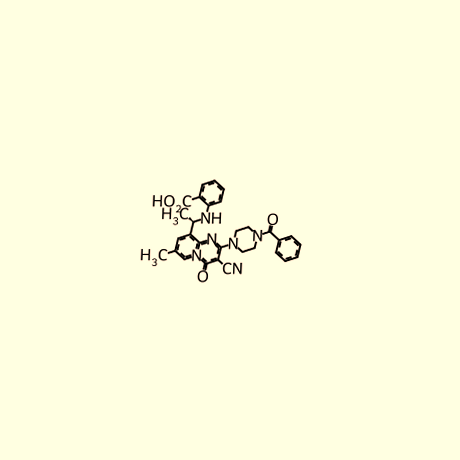 Cc1cc([C@@H](C)Nc2ccccc2C(=O)O)c2nc(N3CCN(C(=O)c4ccccc4)CC3)c(C#N)c(=O)n2c1